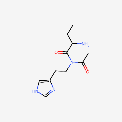 CCC(N)C(=O)N(CCc1c[nH]cn1)C(C)=O